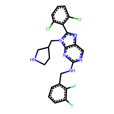 Fc1cccc(CNc2ncc3nc(-c4c(Cl)cccc4Cl)n(CC4CCNC4)c3n2)c1F